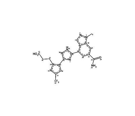 Cn1ncc2c(-c3nc(-c4cc(C(F)(F)F)nn4CCC(=O)O)n[nH]3)cc(C(N)=O)cc21